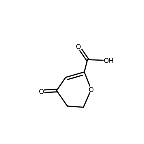 O=C1C=C(C(=O)O)OCC1